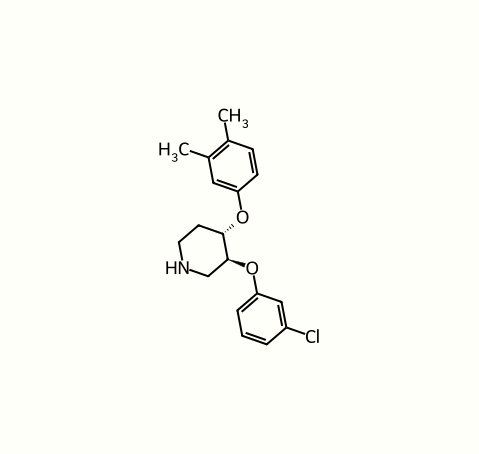 Cc1ccc(O[C@H]2CCNC[C@@H]2Oc2cccc(Cl)c2)cc1C